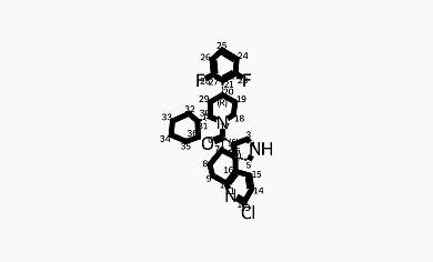 O=C([C@@H]1CNC[C@]12CCCc1nc(Cl)ccc12)N1CC[C@@H](c2c(F)cccc2F)C[C@H]1C1CCCCC1